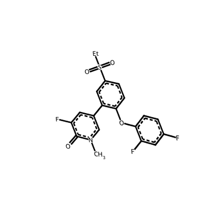 CCS(=O)(=O)c1ccc(Oc2ccc(F)cc2F)c(-c2cc(F)c(=O)n(C)c2)c1